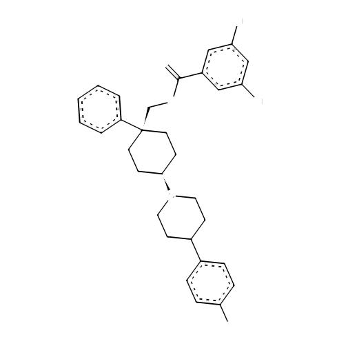 O=C(OC[C@]1(c2ccccc2)CC[C@H](N2CCC(c3ccc(F)cc3)CC2)CC1)c1cc(C(F)(F)F)cc(C(F)(F)F)c1